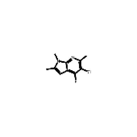 Cc1nc2c(cc(C)n2C)c(F)c1Cl